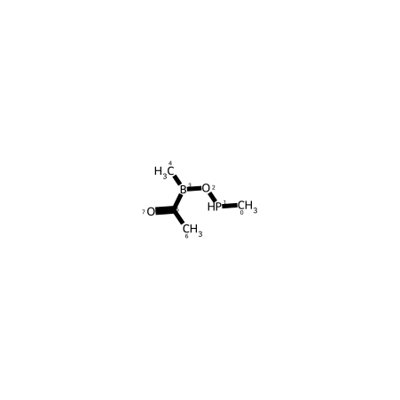 CPOB(C)C(C)=O